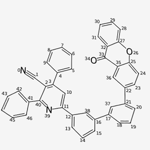 N#Cc1c(-c2ccccc2)cc(-c2cccc(-c3cccc(-c4ccc5oc6ccccc6c(=O)c5c4)c3)c2)nc1-c1ccccc1